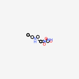 O=C1CCC(N2Cc3cc(C[C@H]4CCCC[C@@H]4NC4CCC(c5ccccc5)CC4)ccc3C2=O)C(=O)N1